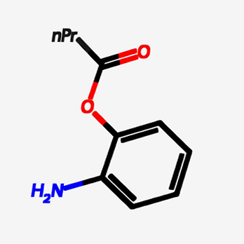 CCCC(=O)Oc1ccccc1N